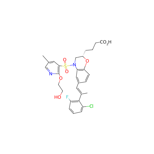 C/C(=C\c1ccc2c(c1)N(S(=O)(=O)c1cc(C)cnc1OCCO)C[C@H](CCCC(=O)O)O2)c1c(F)cccc1Cl